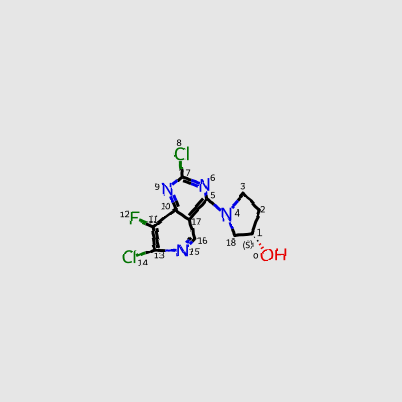 O[C@H]1CCN(c2nc(Cl)nc3c(F)c(Cl)ncc23)C1